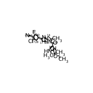 CCOC(C)(C)c1nc(C(=O)NC(C)Cn2ccc(-c3cc(F)c(C#N)c(Cl)c3)n2)c[nH]1